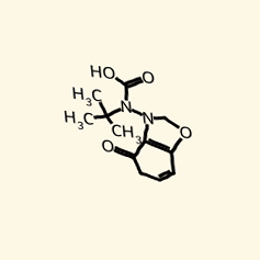 CC(C)(C)N(C(=O)O)N1COC2=C1C(=O)CC=C2